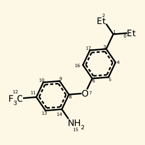 CCC(CC)c1ccc(Oc2ccc(C(F)(F)F)cc2N)cc1